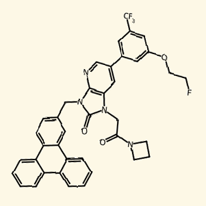 O=C(Cn1c(=O)n(Cc2ccc3c4ccccc4c4ccccc4c3c2)c2ncc(-c3cc(OCCF)cc(C(F)(F)F)c3)cc21)N1CCC1